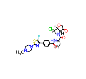 CC(C)C[C@H](NC(=O)c1ccc(-c2nc(N3CCN(C)CC3)sc2F)cc1)C(=O)N1C[C@@H](Cl)[C@H]2OCC(=O)[C@H]21